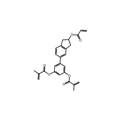 C=CC(=O)OC1Cc2ccc(-c3cc(OC(=O)C(=C)C)cc(OC(=O)C(=C)C)c3)cc2C1